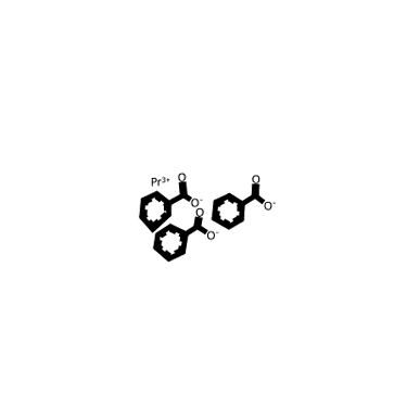 O=C([O-])c1ccccc1.O=C([O-])c1ccccc1.O=C([O-])c1ccccc1.[Pr+3]